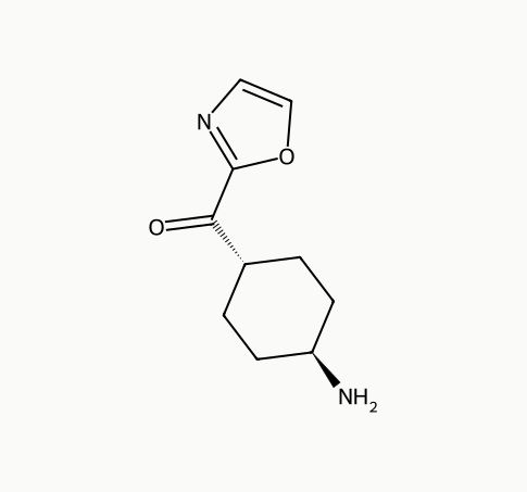 N[C@H]1CC[C@H](C(=O)c2ncco2)CC1